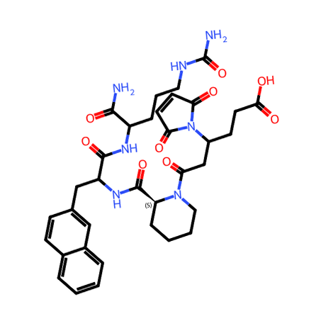 NC(=O)NCCCC(NC(=O)C(Cc1ccc2ccccc2c1)NC(=O)[C@@H]1CCCCN1C(=O)CC(CCC(=O)O)N1C(=O)C=CC1=O)C(N)=O